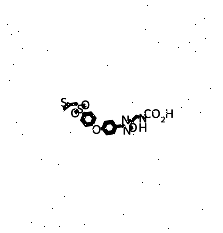 O=C(O)NCc1nc(-c2ccc(Oc3ccc(S(=O)(=O)CC4CS4)cc3)cc2)no1